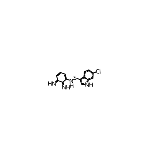 N=C1C=CC=C(NSc2c[nH]c3cc(Cl)ccc23)C1=N